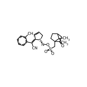 Cc1ccccc1C(C#N)=C1C=CCS1=NOS(=O)(=O)CC12CCC(CC1=O)C2(C)C